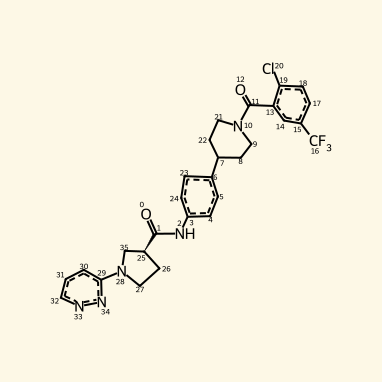 O=C(Nc1ccc(C2CCN(C(=O)c3cc(C(F)(F)F)ccc3Cl)CC2)cc1)[C@H]1CCN(c2cccnn2)C1